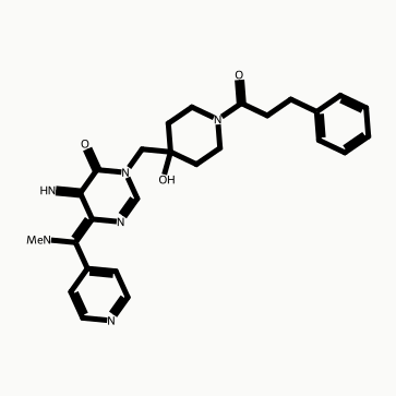 CN/C(=C1/N=CN(CC2(O)CCN(C(=O)CCc3ccccc3)CC2)C(=O)C1=N)c1ccncc1